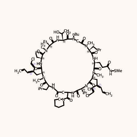 C=C/C=C(\C=C\Cl)C[C@H]1C(=O)N[C@@H](CC(C)C)C(=O)N(C)[C@@H](CC)C(=O)N[C@@H](C(C)O)C(=O)N(CCCC)CC(=O)N(C)[C@@H](CC(C)C)C(=O)N[C@@H](CCC(=O)NSC)C(=O)N(C)[C@@H](CC(=C/C=C)/C=C/Cl)C(=O)N(C)[C@@H](C(C)C)C(=O)NC(C(=O)N2CCCCC2)CC(=O)NC(CC(C)C)C(=O)N1C